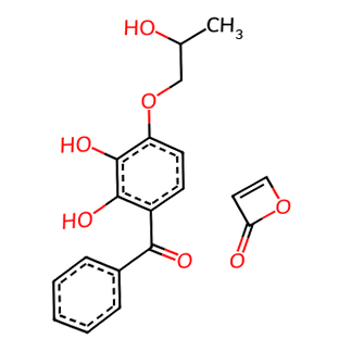 CC(O)COc1ccc(C(=O)c2ccccc2)c(O)c1O.O=C1C=CO1